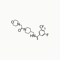 C=C(NCC1CCN(C(=O)CN2CCOCC2)CC1)c1cc(F)cc(C(F)(F)F)c1